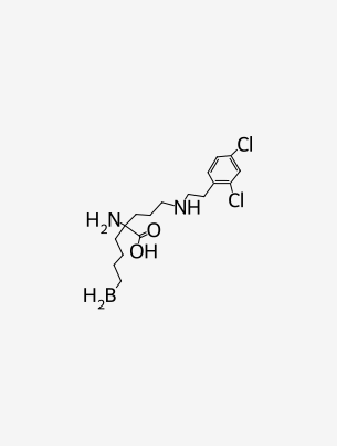 BCCCCC(N)(CCCNCCc1ccc(Cl)cc1Cl)C(=O)O